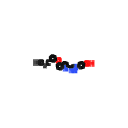 O=C(O)c1cccc(Oc2cccc3nc(-c4cn(-c5ccc(O)cc5)nn4)ccc23)c1